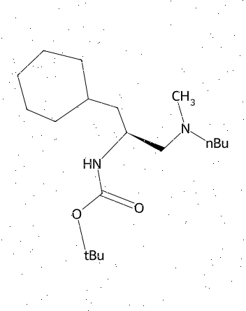 CCCCN(C)C[C@H](CC1CCCCC1)NC(=O)OC(C)(C)C